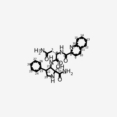 NC(=O)C[C@H](NC(=O)c1ccc2ccccc2n1)C(=O)NC1C(c2ccccc2)CN[C@]1(O)C(N)=O